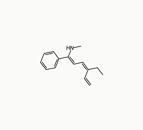 C=C/C(=C\C=C(/NC)c1ccccc1)CC